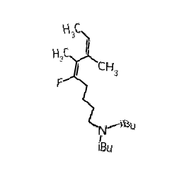 C/C=C(C)\C(C)=C(\F)CCCCN(C(C)CC)C(C)CC